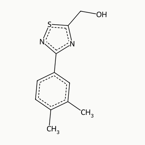 Cc1ccc(-c2nsc(CO)n2)cc1C